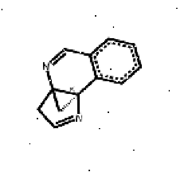 C1=NC23CC=N[C@]2(C3)c2ccccc21